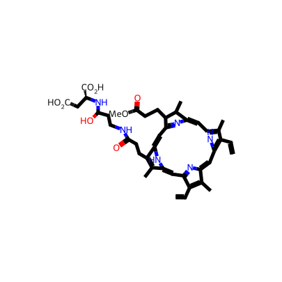 C=CC1=C(C)c2cc3[nH]c(cc4nc(cc5[nH]c(cc1n2)c(C)c5CCC(=O)NCCC(O)N[C@@H](CC(=O)O)C(=O)O)C(CCC(=O)OC)C4C)c(C)c3C=C